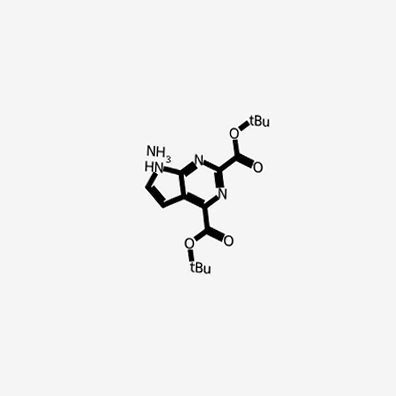 CC(C)(C)OC(=O)c1nc(C(=O)OC(C)(C)C)c2cc[nH]c2n1.N